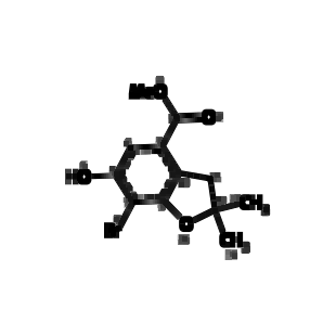 COC(=O)c1cc(O)c(Br)c2c1CC(C)(C)O2